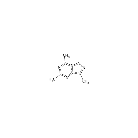 Cc1nc(C)n2cnc(C)c2n1